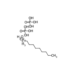 C.CCCCCCCCCC.O.O=P(O)(O)O.O=P(O)(O)O